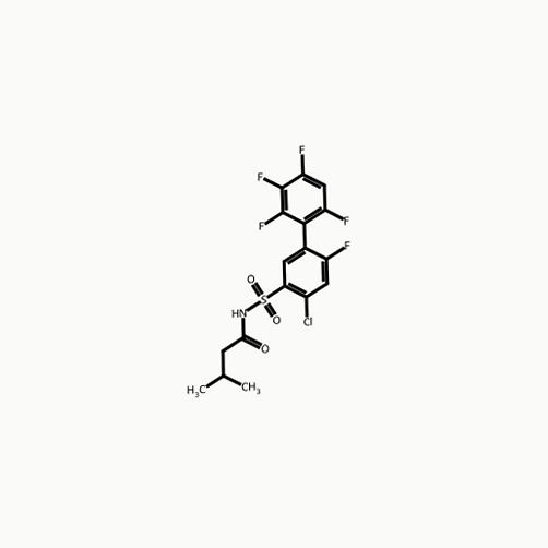 CC(C)CC(=O)NS(=O)(=O)c1cc(-c2c(F)cc(F)c(F)c2F)c(F)cc1Cl